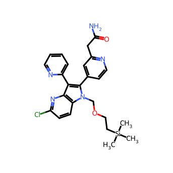 C[Si](C)(C)CCOCn1c(-c2ccnc(CC(N)=O)c2)c(-c2ccccn2)c2nc(Cl)ccc21